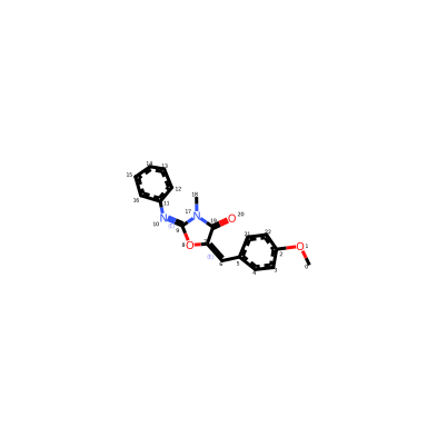 COc1ccc(/C=C2/O/C(=N/c3ccccc3)N(C)C2=O)cc1